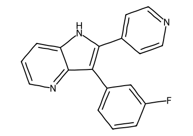 Fc1cccc(-c2c(-c3ccncc3)[nH]c3cccnc23)c1